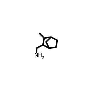 CC1C2CCC(C2)C1CN